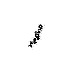 CC(C)(C)OC(=O)NCCC(=O)NC1CCC(NC(=O)OCc2ccccc2)CC1